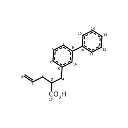 C=CCC(Cc1cccc(-c2ccccc2)c1)C(=O)O